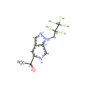 CC(=O)c1cc2cnn(CC(F)(F)C(F)(F)F)c2cn1